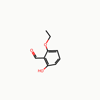 CCOc1cccc(O)c1C=O